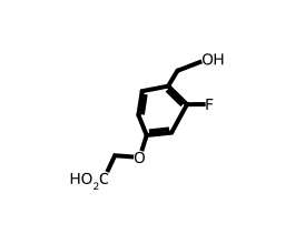 O=C(O)COc1ccc(CO)c(F)c1